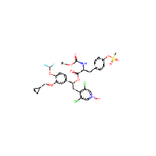 CC(C)(C)OC(=O)NC(Cc1ccc(OS(C)(=O)=O)cc1)C(=O)OC(Cc1c(Cl)c[n+]([O-])cc1Cl)c1ccc(OC(F)F)c(OCC2CC2)c1